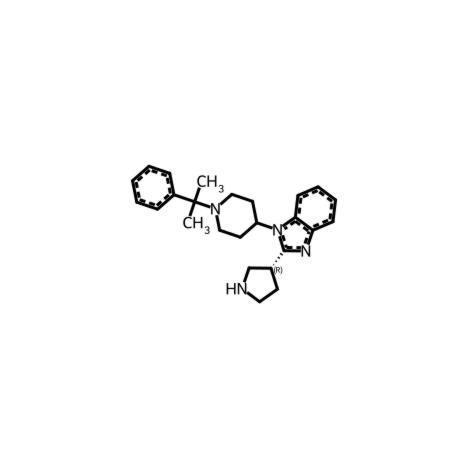 CC(C)(c1ccccc1)N1CCC(n2c([C@@H]3CCNC3)nc3ccccc32)CC1